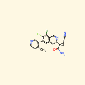 Cc1ccncc1-c1cc2cc(C3(C(N)=O)CC3C#N)ncc2c(Cl)c1F